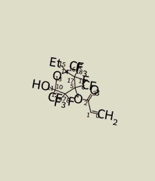 C=CC(=O)OC1(C(F)(F)F)C(F)(F)C(O)(C(F)(F)F)OC(CC)(C(F)(F)F)C1(F)F